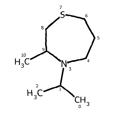 CC(C)N1CCCSCC1C